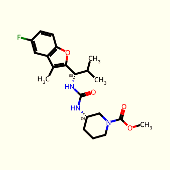 COC(=O)N1CCC[C@H](NC(=O)N[C@H](c2oc3ccc(F)cc3c2C)C(C)C)C1